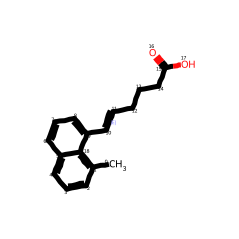 Cc1cccc2cccc(/C=C/CCCC(=O)O)c12